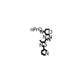 CCCO/N=C1\CCOc2nnc(-c3sc(-c4cccnc4)nc3C)nc21